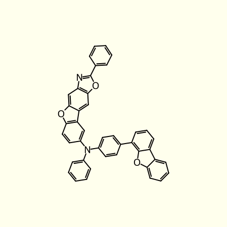 c1ccc(-c2nc3cc4oc5ccc(N(c6ccccc6)c6ccc(-c7cccc8c7oc7ccccc78)cc6)cc5c4cc3o2)cc1